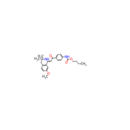 CCCCOC(=O)Nc1ccc(C(=O)C=C2NC(C)(C)Cc3ccc(OC)cc32)cc1